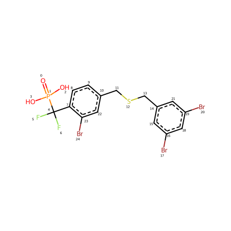 O=P(O)(O)C(F)(F)c1ccc(CSCc2cc(Br)cc(Br)c2)cc1Br